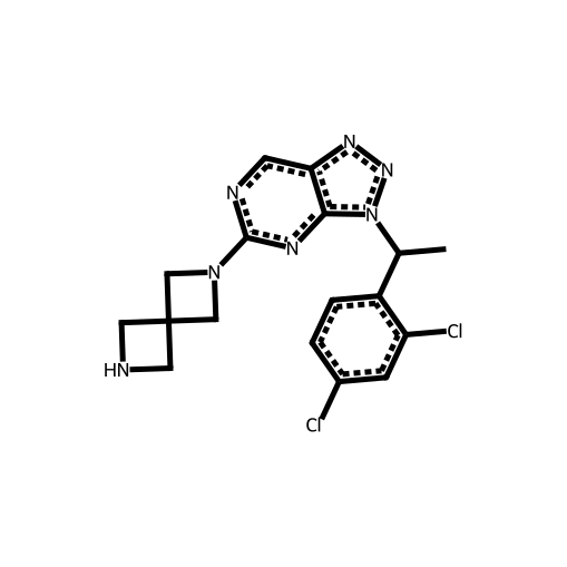 CC(c1ccc(Cl)cc1Cl)n1nnc2cnc(N3CC4(CNC4)C3)nc21